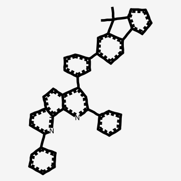 CC1(C)c2ccccc2-c2ccc(-c3cccc(-c4cc(-c5ccccc5)nc5c4ccc4ccc(-c6ccccc6)nc45)c3)cc21